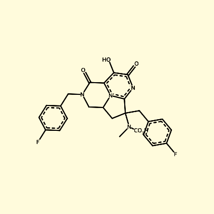 CN(C(=O)O)C1(Cc2ccc(F)cc2)CC2CN(Cc3ccc(F)cc3)C(=O)c3c(O)c(=O)nc1n32